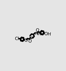 O=C(NCC1CCN(C(=O)COc2ccc(Cl)cc2)CC1)c1ccc(O)cc1